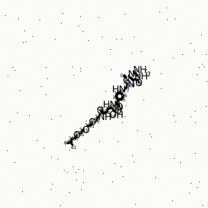 C=Nc1nc(N)[nH]c(=O)c1/N=C(\C)CNc1ccc(C(=O)NC(CCC(=O)NCCOCCOCCOCCC(C)C)C(=O)O)cc1